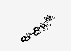 NS(=O)(=O)OC[C@H]1O[C@@H](n2ccc3c(N[C@H]4CCc5ccccc54)ncnc32)[C@H](O)[C@@H]1O